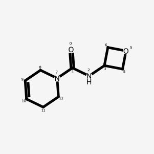 O=C(NC1COC1)N1CC=CCC1